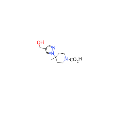 CC1(n2cc(CO)cn2)CCN(C(=O)O)CC1